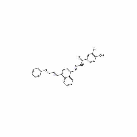 O=C(N/N=C/c1ccc(/C=C/COc2ccccc2)c2ccccc12)c1ccc(O)c(Cl)c1